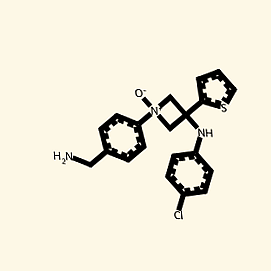 NCc1ccc([N+]2([O-])CC(Nc3ccc(Cl)cc3)(c3cccs3)C2)cc1